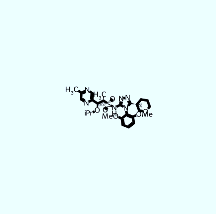 COc1cccc(OC)c1-n1c(NS(=O)(=O)[C@@H](C)[C@@H](OC(C)C)c2cnc(C)cn2)nnc1[C@@H]1CCCOC1